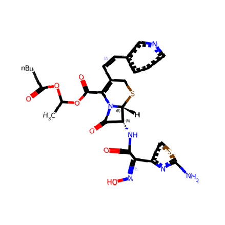 CCCCC(=O)OC(C)OC(=O)C1=C(/C=C\c2cccnc2)CS[C@@H]2[C@H](NC(=O)/C(=N\O)c3csc(N)n3)C(=O)N12